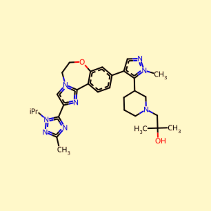 Cc1nc(-c2cn3c(n2)-c2ccc(-c4cnn(C)c4C4CCCN(CC(C)(C)O)C4)cc2OCC3)n(C(C)C)n1